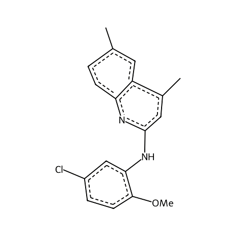 COc1ccc(Cl)cc1Nc1cc(C)c2cc(C)ccc2n1